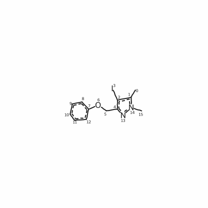 Cc1c(I)c(COc2ccccc2)nn1C